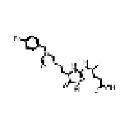 CC(CCC(=O)O)NC(=O)NC(CCCCN(C=O)Cc1ccc(Br)cc1)C(=O)O